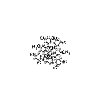 CCc1cc(CC)cc([C@@H](C)c2cc(C)cc([C@H](C)c3cc(CC)cc(CC)c3)c2N2CN(c3c([C@H](C)c4cc(CC)cc(CC)c4)cc(C)cc3[C@H](C)c3cc(CC)cc(CC)c3)C3C4C=CC=C5C=CC=C(C54)C32)c1